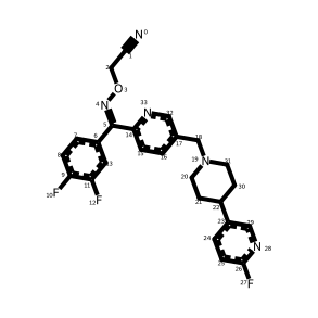 N#CCON=C(c1ccc(F)c(F)c1)c1ccc(CN2CCC(c3ccc(F)nc3)CC2)cn1